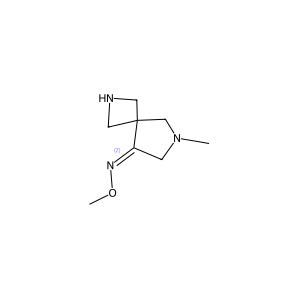 CO/N=C1\CN(C)CC12CNC2